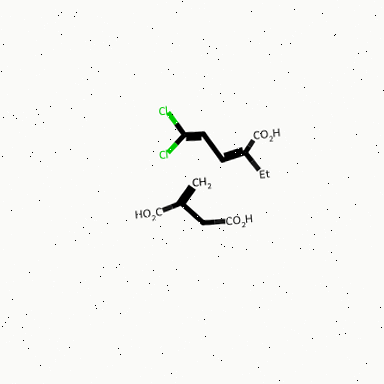 C=C(CC(=O)O)C(=O)O.CCC(=CC=C(Cl)Cl)C(=O)O